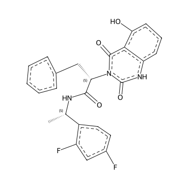 C[C@H](NC(=O)[C@H](Cc1ccccc1)n1c(=O)[nH]c2cccc(O)c2c1=O)c1ccc(F)cc1F